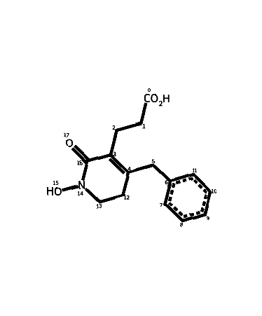 O=C(O)CCC1=C(Cc2ccccc2)CCN(O)C1=O